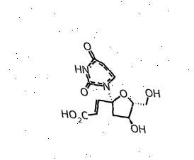 O=C(O)C=C[C@]1(n2ccc(=O)[nH]c2=O)C[C@H](O)[C@@H](CO)O1